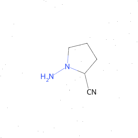 N#CC1CCCN1N